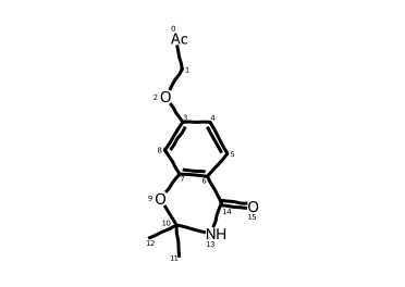 CC(=O)COc1ccc2c(c1)OC(C)(C)NC2=O